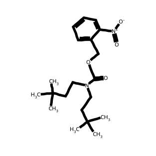 CC(C)(C)CCN(CCC(C)(C)C)C(=O)OCc1ccccc1[N+](=O)[O-]